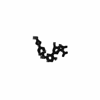 Cc1nc2c(F)cc(-c3nc(Nc4ncc(N5CC(O)C5)cn4)ncc3F)cc2n1C(C)C